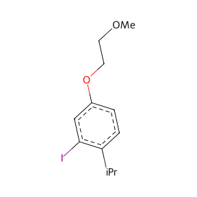 COCCOc1ccc(C(C)C)c(I)c1